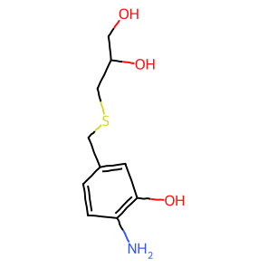 Nc1ccc(CSCC(O)CO)cc1O